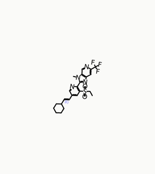 CCS(=O)(=O)c1cc(/C=C/C2CCCCC2)cnc1-c1nc2cc(C(F)(F)F)ncc2n1C